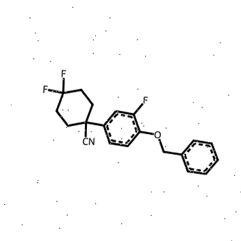 N#CC1(c2ccc(OCc3ccccc3)c(F)c2)CCC(F)(F)CC1